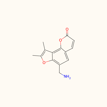 Cc1oc2c(CN)cc3ccc(=O)oc3c2c1C